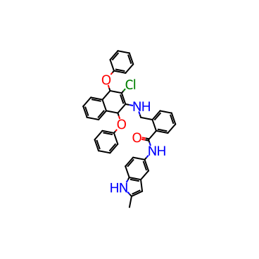 Cc1cc2cc(NC(=O)c3ccccc3CNC3=C(Cl)C(Oc4ccccc4)c4ccccc4C3Oc3ccccc3)ccc2[nH]1